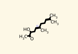 CC(=O)C(O)C/C=C(\C)CCC=C(C)C